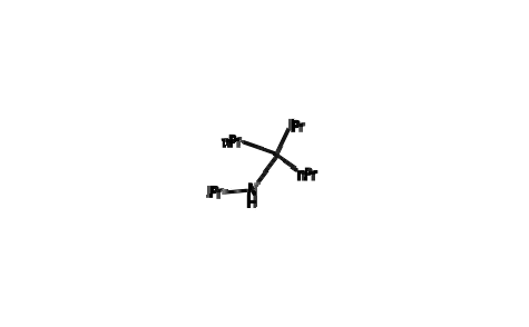 CCCC(CCC)(NC(C)C)C(C)C